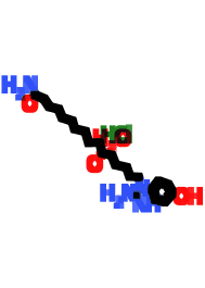 Cl.N=C(N)N(CCCCCC(=O)CCCCCCCCCC(N)=O)c1ccc(O)cc1.O